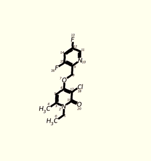 CCn1c(C)cc(OCc2ncc(F)cc2F)c(Cl)c1=O